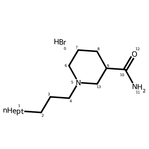 Br.CCCCCCCCCCN1CCCC(C(N)=O)C1